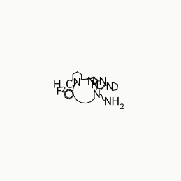 C=C1c2cc(F)ccc2CCCCCN(CCN)c2cc(N3CCCC3)nc3cc(nn23)C2CCCCN12